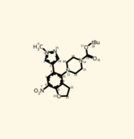 Cn1cc(-c2cc([N+](=O)[O-])c3c(c2N2CCN(C(=O)OC(C)(C)C)CC2)CCO3)cn1